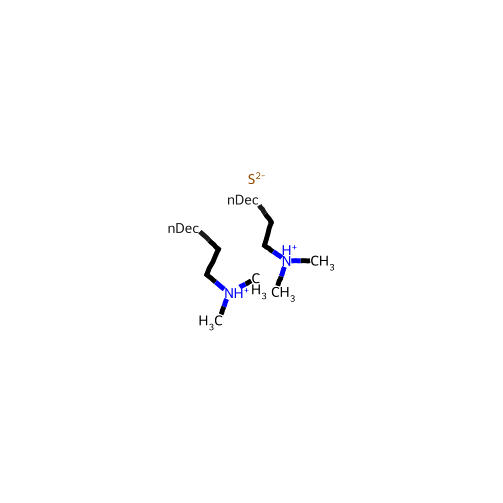 CCCCCCCCCCCC[NH+](C)C.CCCCCCCCCCCC[NH+](C)C.[S-2]